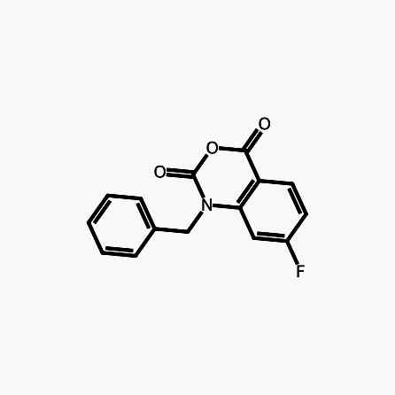 O=c1oc(=O)n(Cc2ccccc2)c2cc(F)ccc12